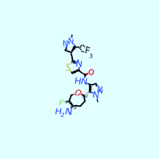 Cn1ncc(NC(=O)c2csc(-c3cnn(C)c3C(F)(F)F)n2)c1[C@@H]1CC[C@@H](N)[C@@H](F)CO1